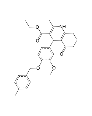 CCOC(=O)C1=C(C)NC2=C(C(=O)CCC2)C1c1ccc(OCc2ccc(C)cc2)c(OC)c1